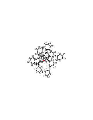 c1ccc(-c2cccc(-n3c4ccccc4c4ccc(-n5c6ccccc6c6c(-c7ccccc7)ccc([Si](c7ccccc7)(c7ccccc7)c7ccccc7)c65)cc43)c2)cc1